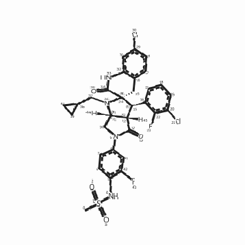 CS(=O)(=O)Nc1ccc(N2C[C@H]3[C@@H](C2=O)[C@H](c2cccc(Cl)c2F)[C@@]2(Cc4ccc(Cl)cc4NC2=O)N3CC2CC2)cc1F